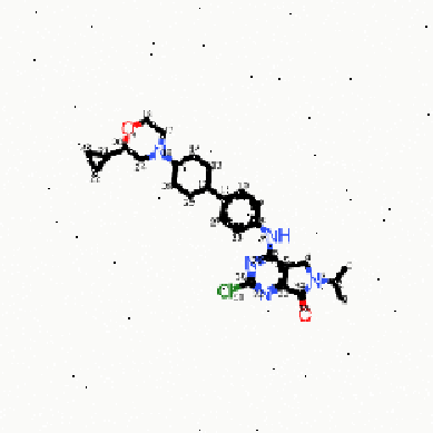 CC(C)N1Cc2c(Nc3ccc(C4CCC(N5CCOC(C6CC6)C5)CC4)cc3)nc(Cl)nc2C1=O